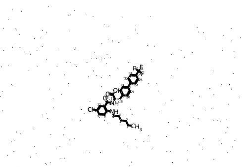 CCCCCCNc1ccc(Cl)cc1C(=O)N[C@@H](Cc1ccc(-c2ccc(C(F)(F)F)cc2)cc1)C(=O)O